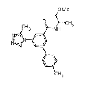 COC[C@H](C)NC(=O)c1cc(-c2ccc(C)cc2)cc(-n2nnnc2C)c1